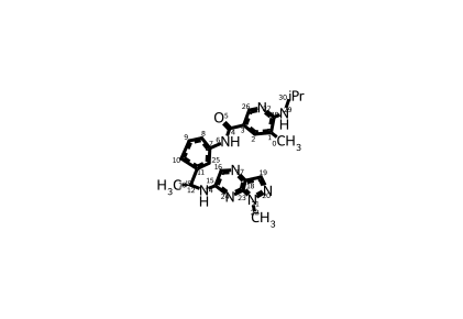 Cc1cc(C(=O)Nc2cccc([C@H](C)Nc3cnc4cnn(C)c4n3)c2)cnc1NC(C)C